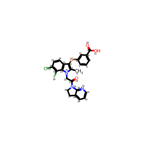 Cc1c(Sc2cccc(C(=O)O)c2)c2ccc(Cl)c(F)c2n1CC(=O)N1CCc2cccnc21